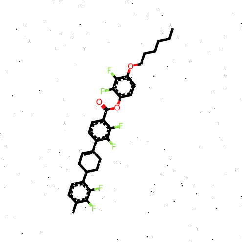 CCCCCCOc1ccc(OC(=O)c2ccc(C3=CCC(c4ccc(C)c(F)c4F)CC3)c(F)c2F)c(F)c1F